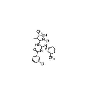 CCN1NC(C(F)(F)F)C(C)C1N/C(=N\C(=O)c1cccc(Cl)c1)Nc1cccc(C(F)(F)F)c1